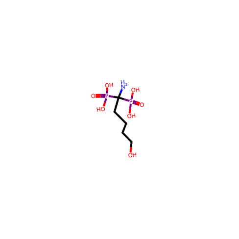 NC(CCCCO)(P(=O)(O)O)P(=O)(O)O